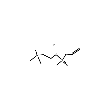 C=CCP(C)(=O)SCC[N+](C)(C)C.[I-]